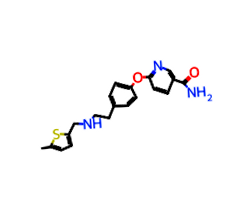 Cc1ccc(CNCCc2ccc(Oc3ccc(C(N)=O)cn3)cc2)s1